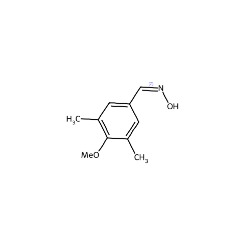 COc1c(C)cc(/C=N\O)cc1C